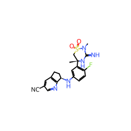 CN1C(=N)N[C@](C)(c2cc(N[C@@H]3CCc4cc(C#N)cnc43)ccc2F)CS1(=O)=O